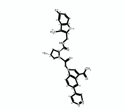 CC(=O)c1cn(CC(=O)N2C[C@H](F)C[C@H]2C(=O)NCc2oc3ccc(F)cc3c2C)c2ccc(-c3ccnnc3)cc12